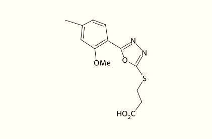 COc1cc(C)ccc1-c1nnc(SCCC(=O)O)o1